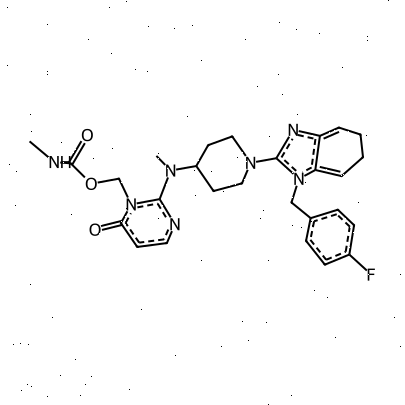 CNC(=O)OCn1c(N(C)C2CCN(c3nc4c(n3Cc3ccc(F)cc3)=CCCC=4)CC2)nccc1=O